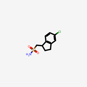 NS(=O)(=O)CC1CCc2cc(Cl)ccc21